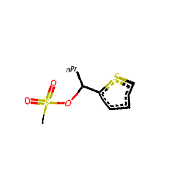 CCCC(OS(C)(=O)=O)c1cccs1